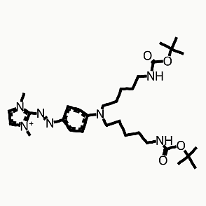 Cn1cc[n+](C)c1/N=N/c1ccc(N(CCCCCNC(=O)OC(C)(C)C)CCCCCNC(=O)OC(C)(C)C)cc1